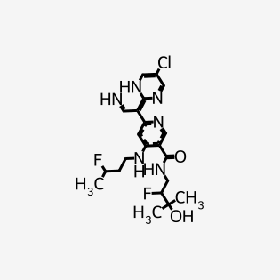 CC(F)CCNc1cc(/C(C=N)=C2\N=CC(Cl)=CN2)ncc1C(=O)NCC(F)C(C)(C)O